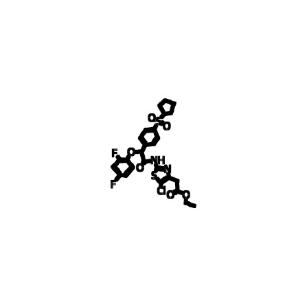 CCOC(=O)Cc1nc(NC(=O)C(Oc2ccc(F)cc2F)c2ccc(S(=O)(=O)C3CCCC3)cc2)sc1Cl